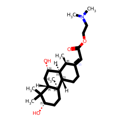 C[C@H]1/C(=C\C(=O)OCCN(C)C)CC[C@H]2[C@H]1[C@@H](O)C[C@H]1C(C)(C)[C@@H](O)CC[C@]21C